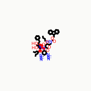 CCCCOC1C(OC2C(OCCCC)C(N=[N+]=[N-])CC(N=[N+]=[N-])C2OC2OC(CNC(=O)OCC3c4ccccc4-c4ccccc43)C(OCCCC)C(OCCCC)C2N=[N+]=[N-])OC(C(O)Cc2ccccc2)C1O